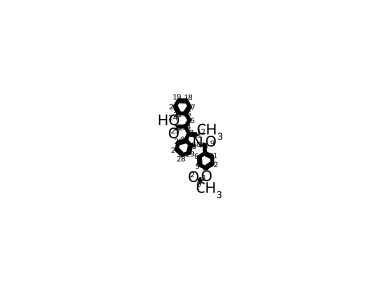 CC(=O)Oc1ccc(C(=O)n2c(C)c(C(Cc3ccccc3)C(=O)O)c3ccccc32)cc1